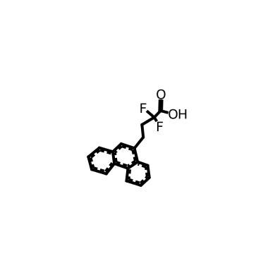 O=C(O)C(F)(F)CCc1cc2ccccc2c2ccccc12